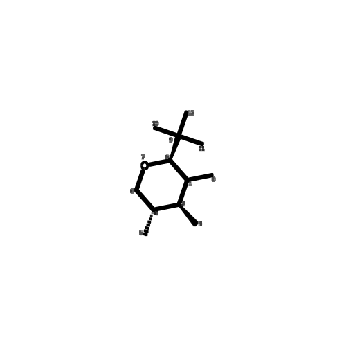 CC1[C@@H](C)[C@H](C)CO[C@H]1C(C)(C)C